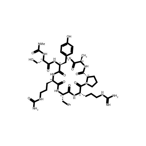 CNC(=O)N[C@@H](CO)C(=O)N[C@@H](Cc1ccc(O)cc1)C(=O)N[C@H](CCCNC(N)=O)C(=O)N[C@@H](CC(C)C)C(=O)N[C@@H](CCCNC(=N)N)C(=O)N1CCC[C@H]1C(=O)N[C@H](C)C(N)=O